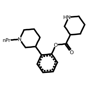 CCCN1CCCC(c2ccccc2OC(=O)C2CCCNC2)C1